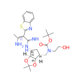 C/C(N)=C(/C(=N)N[C@@H]1C[C@H](CN(CCO)C(=O)OC(C)(C)C)[C@H]2OC(C)(C)O[C@H]21)c1nc2ccccc2s1